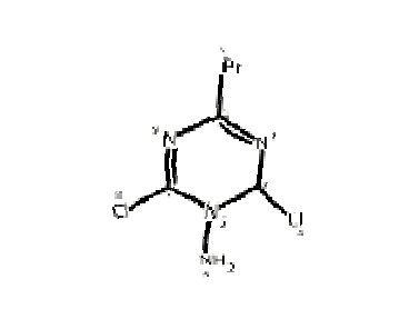 CC(C)C1=NC(Cl)N(N)C(Cl)=N1